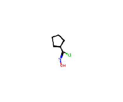 ON=C(Cl)C1CCCC1